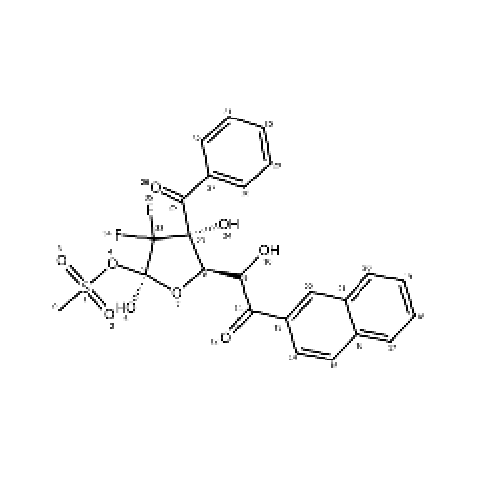 CS(=O)(=O)O[C@]1(O)O[C@H](C(O)C(=O)c2ccc3ccccc3c2)[C@](O)(C(=O)c2ccccc2)C1(F)F